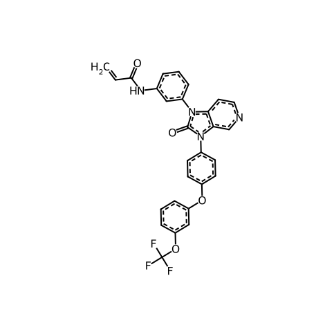 C=CC(=O)Nc1cccc(-n2c(=O)n(-c3ccc(Oc4cccc(OC(F)(F)F)c4)cc3)c3cnccc32)c1